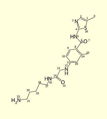 Cc1cnc(NC(=O)c2ccc(NCC(=O)NCCCCCN)cc2C)s1